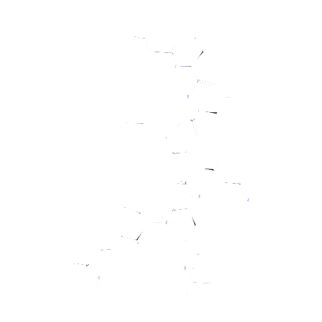 CSCC[C@H](NC(=O)[C@H](CCC(=O)O)NC(=O)[C@H](CCC(=O)O)NC(=O)CCC(=O)O)C(=O)N[C@@H](CCC(N)=O)C(=O)N[C@@H](CCCNC(N)N)C(=O)N[C@@H](CCCNC(=N)N)C(N)=O